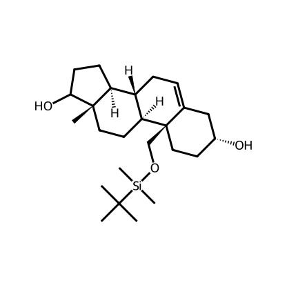 CC(C)(C)[Si](C)(C)OC[C@]12CC[C@@H](O)CC1=CC[C@@H]1[C@@H]2CC[C@]2(C)C(O)CC[C@@H]12